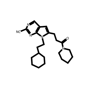 N#Cc1ncc2cc(CCC(=O)N3CCCCC3)n(CCC3CCCCC3)c2n1